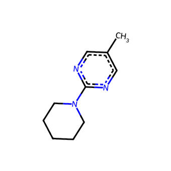 Cc1cnc(N2CCCCC2)nc1